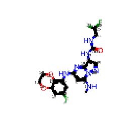 CNc1cc(Nc2cc(F)cc3c2OCCO3)nc2c(NC(=O)NCC(F)F)cnn12